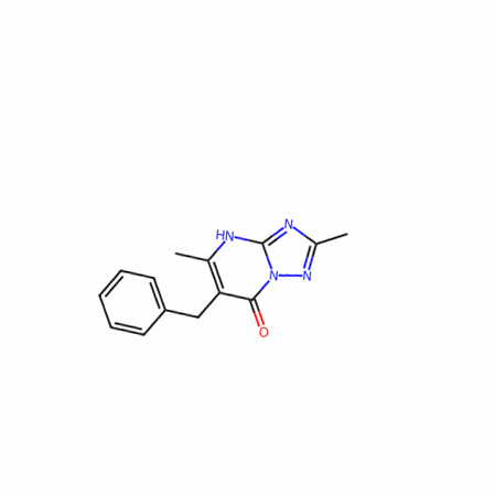 Cc1nc2[nH]c(C)c(Cc3ccccc3)c(=O)n2n1